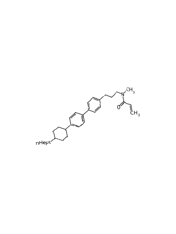 C=CC(=O)N(C)CCCc1ccc(-c2ccc(C3CCC(CCCCCCC)CC3)cc2)cc1